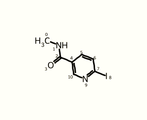 CNC(=O)c1ccc(I)nc1